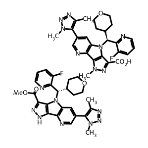 COC(=O)c1n[nH]c2c3ncc(-c4c(C)nnn4C)cc3n([C@H](c3ncccc3F)C3CCOCC3)c12.Cc1nnn(C)c1-c1cnc2c3c(c(C(=O)O)nn3C)n([C@H](c3ncccc3F)C3CCOCC3)c2c1